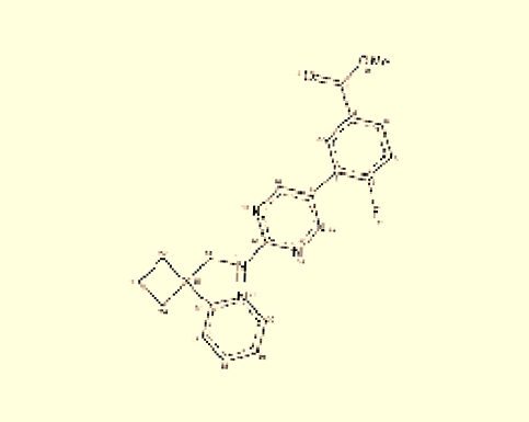 COC(=O)c1ccc(F)c(-c2cnc(NCC3(c4ccccn4)CCC3)nn2)c1